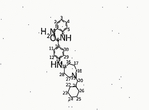 Nc1ccccc1NC(=O)c1ccc(N[C@@H]2CCCN(CC3CCCCC3)CC2)cc1